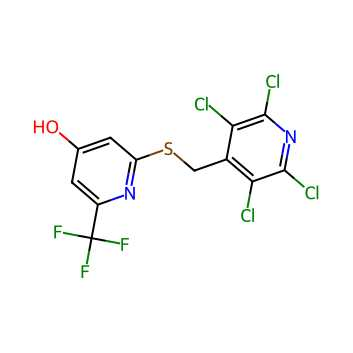 Oc1cc(SCc2c(Cl)c(Cl)nc(Cl)c2Cl)nc(C(F)(F)F)c1